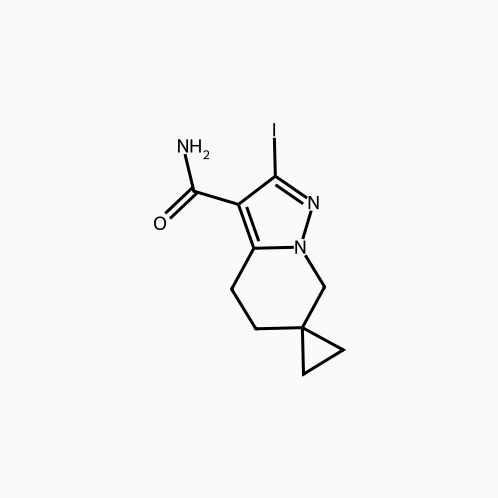 NC(=O)c1c(I)nn2c1CCC1(CC1)C2